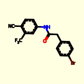 N#Cc1ccc(NC(=O)Cc2ccc(Br)cc2)cc1C(F)(F)F